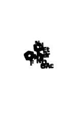 CCc1nnccc1-c1c(Br)c(OOC(C)=O)nn1-c1ccccc1F